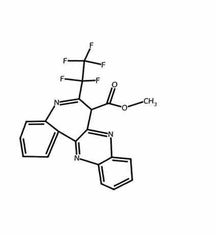 COC(=O)C1C(C(F)(F)C(F)(F)F)=Nc2ccccc2-c2nc3ccccc3nc21